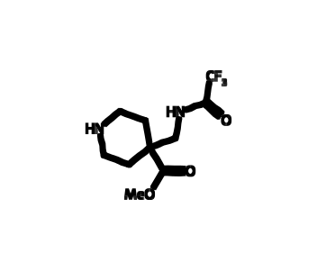 COC(=O)C1(CNC(=O)C(F)(F)F)CCNCC1